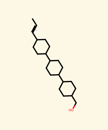 C/C=C/C1CCC(C2CCC(C3CCC(CO)CC3)CC2)CC1